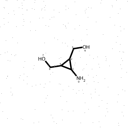 NC1C(CO)C1CO